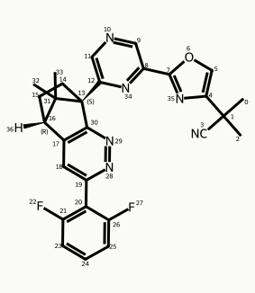 CC(C)(C#N)c1coc(-c2cncc([C@@]34CC[C@@H](c5cc(-c6c(F)cccc6F)nnc53)C4(C)C)n2)n1